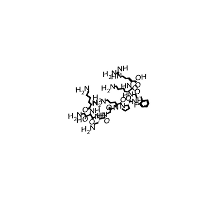 N=C(N)NCC/C=C(\NC(=O)[C@H](CCCCN)NC(=O)[C@H](Cc1ccccc1F)NC(=O)[C@@H]1CCCN1C(=O)/C(CCCN)=N/C(=O)CNC(=O)[C@H](CCN)NC(=O)[C@@H](NC(=O)[C@@H](N)CCCCN)[C@@H](O)CN)C(=O)O